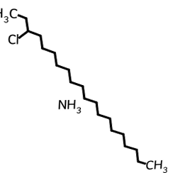 CCCCCCCCCCCCCCCCCC(Cl)CC.N